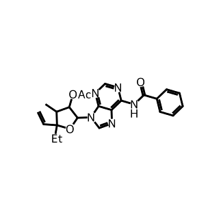 C=CC1(CC)OC(n2cnc3c(NC(=O)c4ccccc4)ncnc32)C(OC(C)=O)C1C